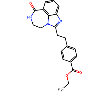 CCOC(=O)c1ccc(CCc2nc3cccc4c3n2CCNC4=O)cc1